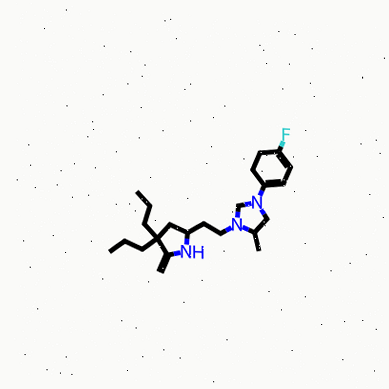 C=C1NC(CCN2CN(C3=CC=C(F)CC3)CC2C)CC1(CCC)CCC